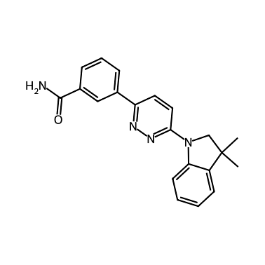 CC1(C)CN(c2ccc(-c3cccc(C(N)=O)c3)nn2)c2ccccc21